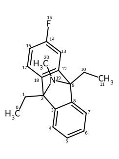 CCC12c3ccccc3C(CC)(c3cc(F)ccc31)N2C